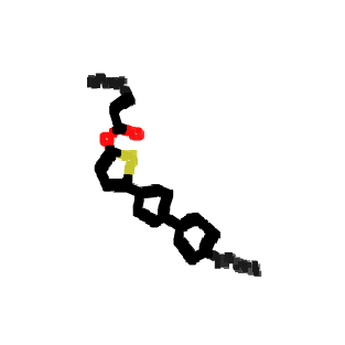 CCCCCC=CC(=O)Oc1ccc(-c2ccc(-c3ccc(CCCCC)cc3)cc2)s1